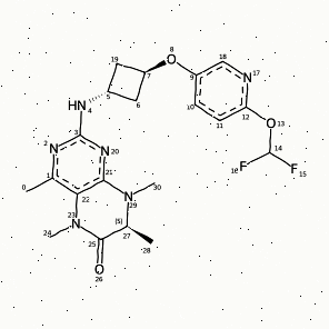 Cc1nc(N[C@H]2C[C@H](Oc3ccc(OC(F)F)nc3)C2)nc2c1N(C)C(=O)[C@H](C)N2C